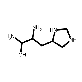 NC(O)C(N)CC1CNCN1